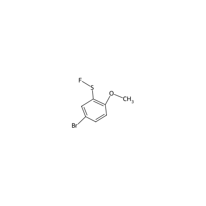 COc1ccc(Br)cc1SF